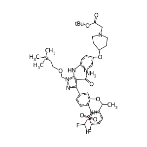 CC(Oc1cc(-c2nn(COCC[Si](C)(C)C)c(Nc3ccc(OC4CCN(CC(=O)OC(C)(C)C)CC4)cn3)c2C(N)=O)ccc1NS(=O)(=O)C(F)F)c1ccc(F)cc1